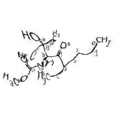 CCCCC(CC)C(=O)[C@@H](NC(=O)OC)C(C)(C)O